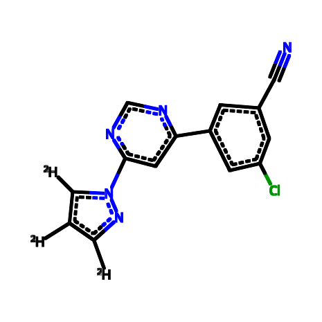 [2H]c1nn(-c2cc(-c3cc(Cl)cc(C#N)c3)ncn2)c([2H])c1[2H]